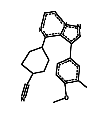 COc1ccc(-c2cnn3ccnc(C4CCC(C#N)CC4)c23)cc1C